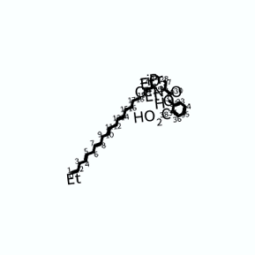 CCC=CCC=CCC=CCC=CCC=CCCCCOC(CC)(CC)C(=O)NC(CC(C)C)C(=O)Oc1ccccc1C(=O)O